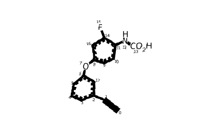 C#Cc1cccc(Oc2ccc(NC(=O)O)c(F)c2)c1